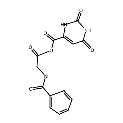 O=C(CNC(=O)c1ccccc1)OC(=O)c1cc(=O)[nH]c(=O)[nH]1